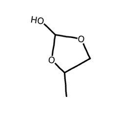 CC1COC(O)O1